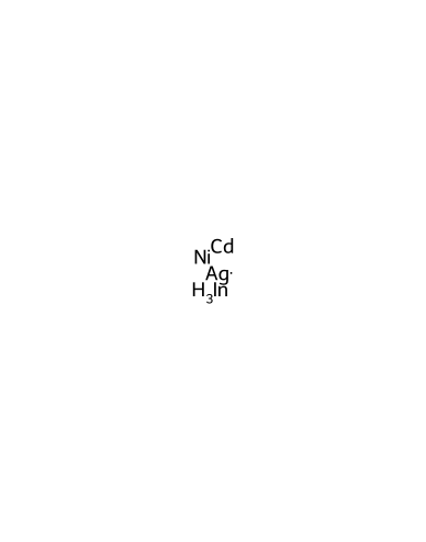 [Ag].[Cd].[InH3].[Ni]